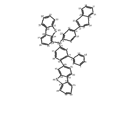 c1ccc(-c2cc(N(c3ccc(-c4ccc5ccccc5c4)cc3)c3cccc4c3sc3ccccc34)ccc2-c2ccc3c(c2)sc2ccccc23)cc1